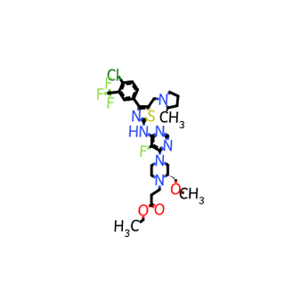 CCOC(=O)CCN1CCN(c2ncnc(Nc3nc(-c4ccc(Cl)c(C(F)(F)F)c4)c(CN4CCC[C@H]4C)s3)c2F)C[C@@H]1COC